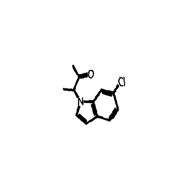 CC(=O)C(C)n1ccc2ccc(Cl)cc21